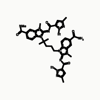 CCn1nc(C)cc1C(=O)/N=c1\n(C)c2cc(C(N)=O)ccc2n1CCCC(C)(C)n1/c(=N/C(=O)c2cc(C)nn2CC)n(C)c2cc(C(=O)NC)ccc21